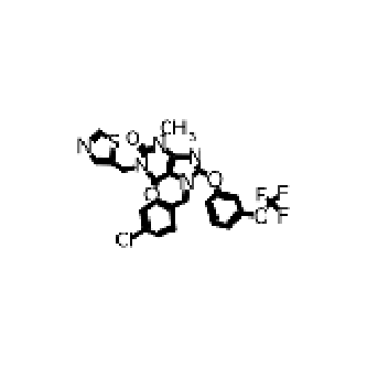 Cn1c(=O)n(Cc2cncs2)c(=O)c2c1nc(Oc1cccc(OC(F)(F)F)c1)n2Cc1ccc(Cl)cc1